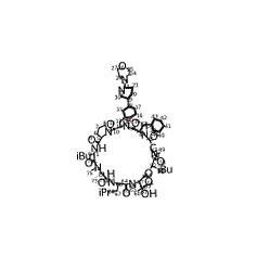 CCC(C)C1NC(=O)C2CCCN2C(=O)C(Cc2cccc(-c3ccc(N4CCOCC4)nc3)c2)N(C)C(=O)C(Cc2ccccc2)NC(=O)CN(C)C(=O)C([C@H](C)CC)OC(=O)C(C(C)(C)O)N(C)C(=O)C(CC(C)C)NC(=O)[C@H](C)N(C)C1=O